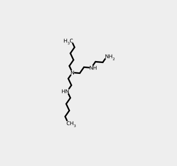 CCCCCNCCN(CCCCC)CCNCCN